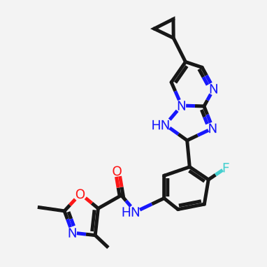 Cc1nc(C)c(C(=O)Nc2ccc(F)c(C3N=C4N=CC(C5CC5)=CN4N3)c2)o1